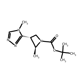 C[C@H]1[C@H](c2nncn2C)CN1C(=O)OC(C)(C)C